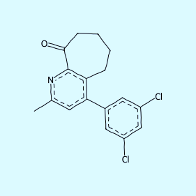 Cc1cc(-c2cc(Cl)cc(Cl)c2)c2c(n1)C(=O)CCCC2